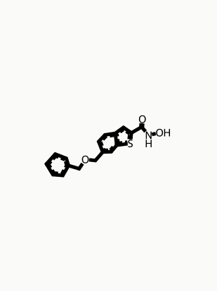 O=C(NO)c1cc2ccc(COCc3ccccc3)cc2s1